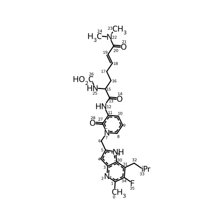 Cc1nc2cc(Cn3cccc(NC(=O)C(CCC=CC(=O)N(C)C)NC(=O)O)c3=O)[nH]c2c(CC(C)C)c1F